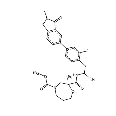 CN1Cc2ccc(-c3ccc(CC(C#N)NC(=O)[C@]4(C(C)(C)C)CN(C(=O)OC(C)(C)C)CCCO4)c(F)c3)cc2C1=O